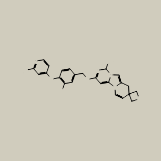 O=CC1N=C(OCc2ccc(Oc3ccnc(C(F)(F)F)c3)c(F)c2)C=C2N3C=CC4(COC4)CC3=CN21